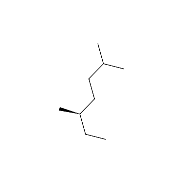 CC[C@@H](C)CCC(C)C